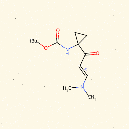 CN(C)/C=C/C(=O)C1(NC(=O)OC(C)(C)C)CC1